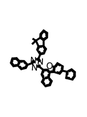 CC1(C)c2ccccc2-c2ccc(-c3nc(-c4ccc5ccccc5c4)nc(-c4cc5ccccc5c5c4oc4ccc(-c6ccccc6)cc45)n3)cc21